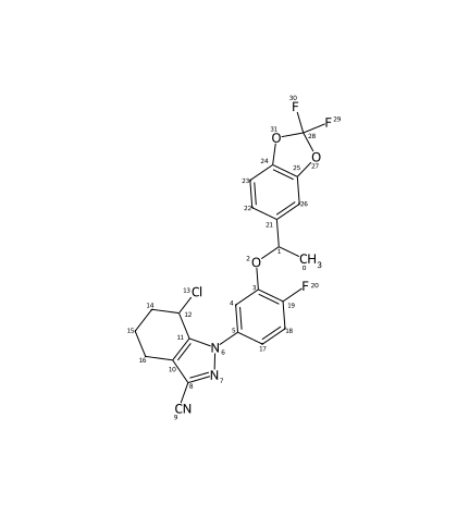 CC(Oc1cc(-n2nc(C#N)c3c2C(Cl)CCC3)ccc1F)c1ccc2c(c1)OC(F)(F)O2